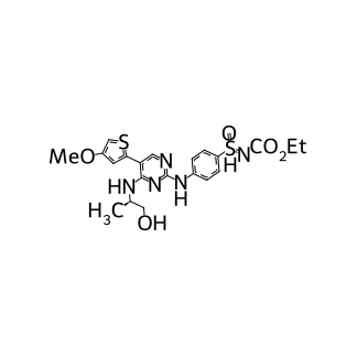 CCOC(=O)N=[SH](=O)c1ccc(Nc2ncc(-c3cc(OC)cs3)c(N[C@H](C)CO)n2)cc1